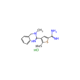 CSc1sc(C(=N)N)cc1C(=N)N(C)Cc1ccccc1.Cl